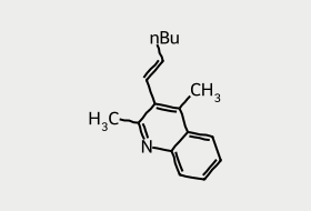 CCCCC=Cc1c(C)nc2ccccc2c1C